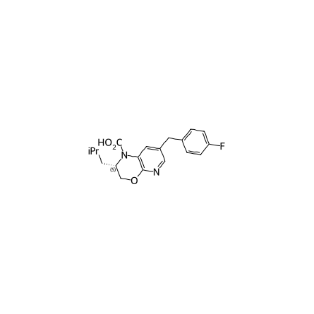 CC(C)C[C@H]1COc2ncc(Cc3ccc(F)cc3)cc2N1C(=O)O